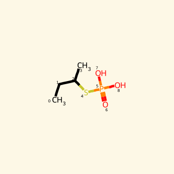 CCC(C)SP(=O)(O)O